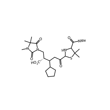 CNC(=O)C1NC(C(=O)CC(C2CCCC2)[C@@H](CN2C(=O)N(C)C(C)(C)C2=O)C(=O)O)SC1(C)C